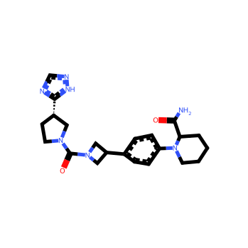 NC(=O)C1CCCCN1c1ccc(C2CN(C(=O)N3CC[C@H](c4ncn[nH]4)C3)C2)cc1